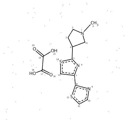 CN1CCC(c2nc(-c3nccs3)cs2)C1.O=C(O)C(=O)O